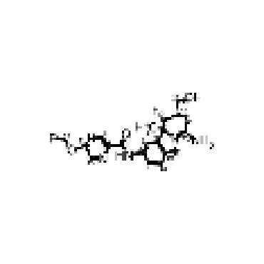 C[C@]1(c2cc(NC(=O)c3cnc(OCF)cn3)ccc2F)N=C(N)S[C@H](CO)[C@@H]1F